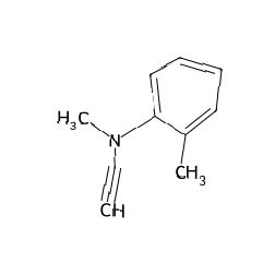 C#CN(C)c1ccccc1C